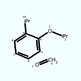 C=O.CC(C)Oc1ccccc1C(C)C